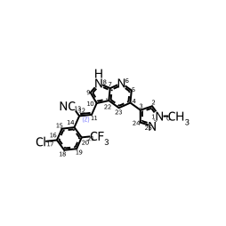 Cn1cc(-c2cnc3[nH]cc(/C=C(\C#N)c4cc(Cl)ccc4C(F)(F)F)c3c2)cn1